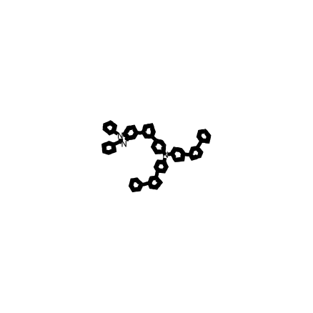 c1ccc(-c2cccc(-c3ccc(N(c4ccc(-c5cccc(-c6ccccc6)c5)cc4)c4ccc(-c5cccc(-c6ccc7c(c6)nc(-c6ccccc6)n7-c6ccccc6)c5)cc4)cc3)c2)cc1